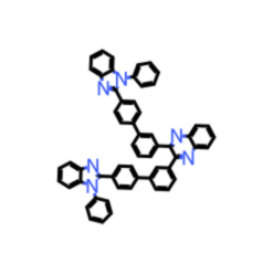 c1ccc(-n2c(-c3ccc(-c4cccc(-c5nc6ccccc6nc5-c5cccc(-c6ccc(-c7nc8ccccc8n7-c7ccccc7)cc6)c5)c4)cc3)nc3ccccc32)cc1